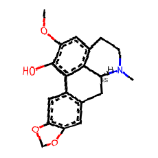 COc1cc2c3c(c1O)-c1cc4c(cc1C[C@@H]3N(C)CC2)OCO4